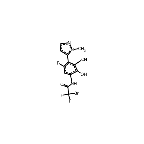 Cn1nccc1-c1c(F)cc(NC(=O)C(F)(F)Br)c(O)c1C#N